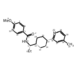 CC[C@H](NC(=O)c1ccc(OC)nc1)[C@H]1CC[C@@H](c2cc(C)ccn2)CC1